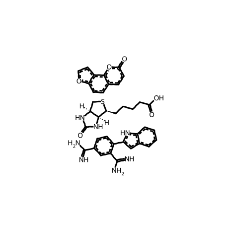 N=C(N)c1ccc(-c2cc3ccccc3[nH]2)c(C(=N)N)c1.O=C(O)CCCC[C@@H]1SC[C@@H]2NC(=O)N[C@@H]21.O=c1ccc2ccc3occc3c2o1